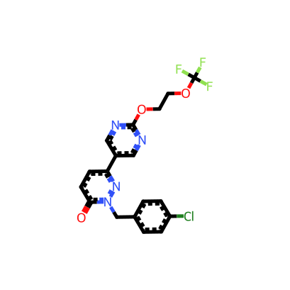 O=c1ccc(-c2cnc(OCCOC(F)(F)F)nc2)nn1Cc1ccc(Cl)cc1